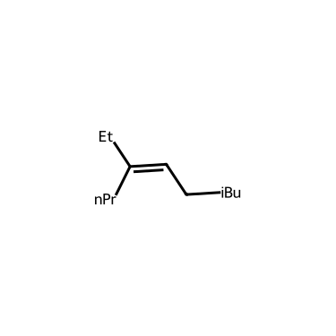 [CH2]CC(C)CC=C(CC)CCC